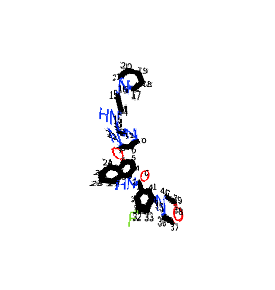 O=C(Nc1ccc(Oc2ccnc(NCCN3CCCCC3)n2)c2ccccc12)c1cc(F)cc(N2CCOCC2)c1